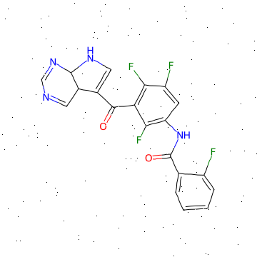 O=C(Nc1cc(F)c(F)c(C(=O)C2=CNC3N=CN=CC23)c1F)c1ccccc1F